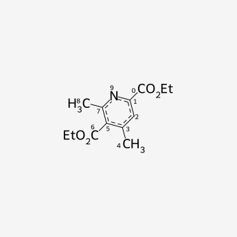 CCOC(=O)c1cc(C)c(C(=O)OCC)c(C)n1